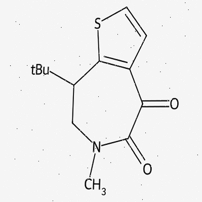 CN1CC(C(C)(C)C)c2sccc2C(=O)C1=O